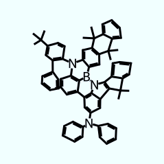 Cc1cc2c3c(c1)N(c1ccc(C(C)(C)C)cc1-c1ccccc1)c1cc4c(cc1B3n1c3c(c5cc(N(c6ccccc6)c6ccccc6)cc-2c51)C(C)(C)c1ccccc1-3)C(C)(C)c1ccccc1C4(C)C